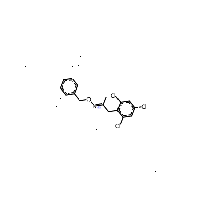 C/C(Cc1c(Cl)cc(Cl)cc1Cl)=N\OCc1ccccc1